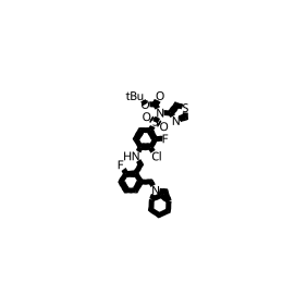 CC(C)(C)OC(=O)N(c1cscn1)S(=O)(=O)c1ccc(NCc2c(F)cccc2CN2CC3CCCC2C3)c(Cl)c1F